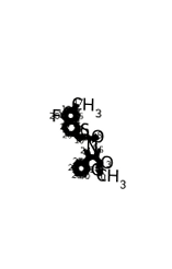 COC(=O)C1CN(C(=O)c2cc3c(s2)-c2cc(C)cc(F)c2CC3)CC1c1ccccc1